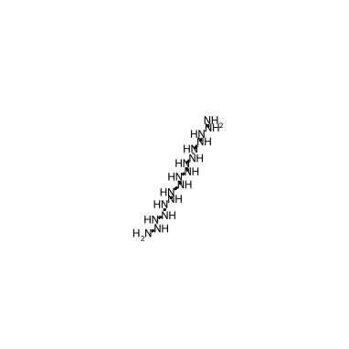 NNNNNNNNNNNNNNNNN